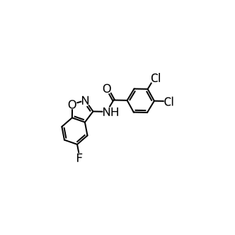 O=C(Nc1noc2ccc(F)cc12)c1ccc(Cl)c(Cl)c1